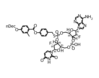 CCCCCCCCCCOc1ccc(C(=O)Oc2ccc(CSP3(=O)OC[C@H]4O[C@@H](n5cnc6c(N)ncnc65)[C@H](F)[C@@H]4OP(=O)(O)OC[C@H]4O[C@@H](n5ccc(=O)[nH]c5=O)[C@H](F)[C@@H]4O3)cc2)c(C)c1